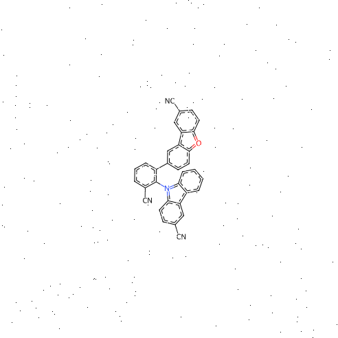 N#Cc1ccc2oc3ccc(-c4cccc(C#N)c4-n4c5ccccc5c5cc(C#N)ccc54)cc3c2c1